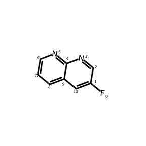 Fc1cnc2nc[c]cc2c1